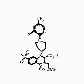 CSCC[C@@H](C(=O)O)N(c1cc(S(C)(=O)=O)ccc1OC(C)(C)C)N1CCN(c2ncc(C(F)(F)F)cc2F)CC1